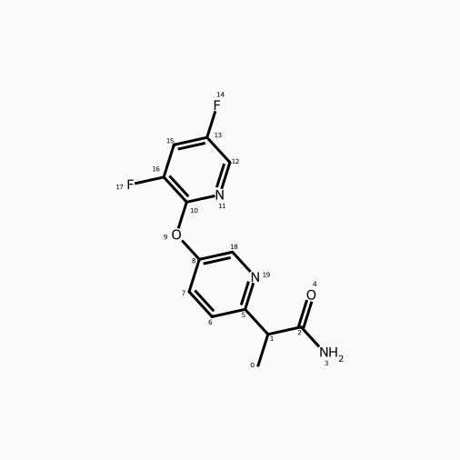 CC(C(N)=O)c1ccc(Oc2ncc(F)cc2F)cn1